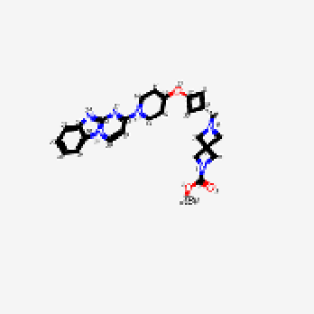 CC(C)(C)OC(=O)N1CC2(CN(C[C@H]3C[C@H](OC4CCN(c5ccn6c(n5)nc5ccccc56)CC4)C3)C2)C1